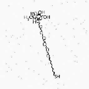 CC(=O)NC1C(O)[C@H](O)C(CO)O[C@H]1OCCOCCOCCOCCOCCOCCOCCCCCCCCCCS